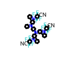 N#Cc1c(F)c(F)c(-n2c3ccccc3c3cc(N(c4ccccc4)c4ccc(N(c5ccc6c(c5)c5ccccc5n6-c5c(F)c(F)c(C#N)c(F)c5F)c5ccc6c(c5)c5ccccc5n6-c5c(F)c(F)c(C#N)c(F)c5F)cc4)ccc32)c(F)c1F